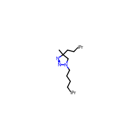 CC(C)CCCCN1CC(C)(CCC(C)C)N=N1